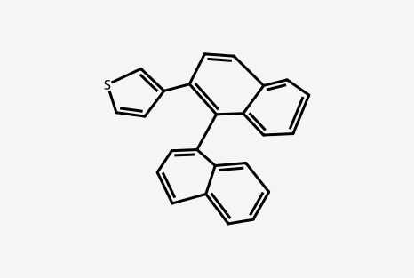 c1ccc2c(-c3c(-c4ccsc4)ccc4ccccc34)cccc2c1